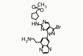 CS(=O)(=O)C1CC[C@@H](Nc2ncc3c(Br)nn(-c4cc(CCN)c5nccnc5c4)c3n2)C1